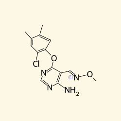 CO/N=C/c1c(N)ncnc1Oc1cc(C)c(C)cc1Cl